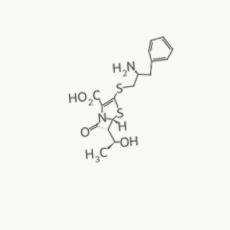 C[C@H](O)[C@@H]1C(=O)N2C(C(=O)O)=C(SC[C@@H](N)Cc3ccccc3)S[C@H]12